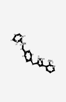 Nc1ncccc1-c1cc(Cc2ccc(CNc3ncccn3)cc2)no1